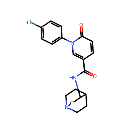 O=C(NC1CN2CCC1CC2)c1ccc(=O)n(-c2ccc(Cl)cc2)c1